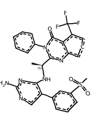 C[C@H](Nc1nc(N)ncc1-c1cccc(S(C)(=O)=O)c1)c1nc2cccc(C(F)(F)F)c2c(=O)n1-c1ccccc1